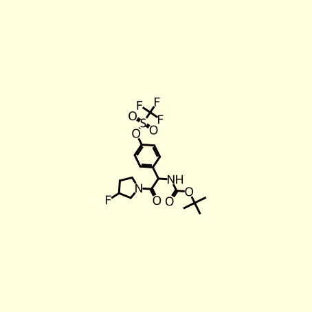 CC(C)(C)OC(=O)NC(C(=O)N1CCC(F)C1)c1ccc(OS(=O)(=O)C(F)(F)F)cc1